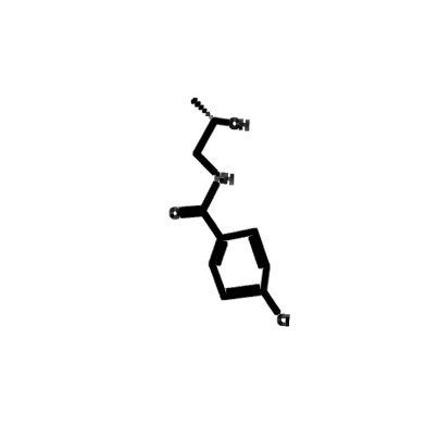 C[C@H](O)CNC(=O)c1ccc(Cl)cc1